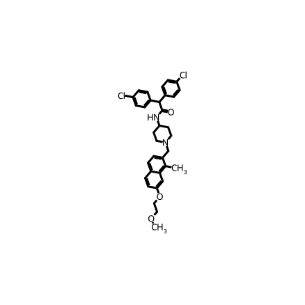 COCCOc1ccc2ccc(CN3CCC(NC(=O)C(c4ccc(Cl)cc4)c4ccc(Cl)cc4)CC3)c(C)c2c1